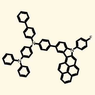 Fc1ccc(-n2c3ccc(-c4ccc(N(c5ccc(-c6ccccc6)cc5)c5ccc(N(c6ccccc6)c6ccccc6)cc5)cc4)cc3c3c4ccc5cccc6ccc(cc32)c4c65)cc1